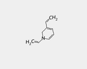 C=CC1=CC=CN(C=C)C1